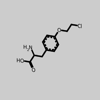 NC(Cc1ccc(OCCCl)cc1)C(=O)O